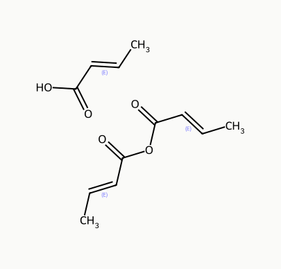 C/C=C/C(=O)O.C/C=C/C(=O)OC(=O)/C=C/C